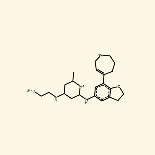 COCCNC1CC(C)NC(Nc2cc3c(c(C4=CCNCCC4)c2)OCC3)C1